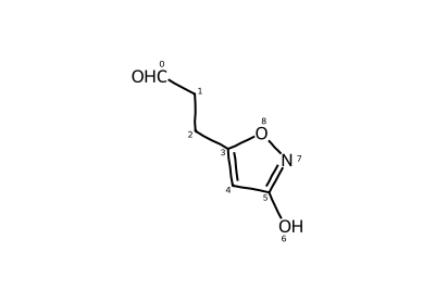 O=CCCc1cc(O)no1